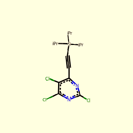 CC(C)[Si](C#Cc1nc(Cl)nc(Cl)c1Cl)(C(C)C)C(C)C